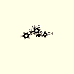 COc1ccc(S(=O)(=O)N[C@H]2C[C@@H](O)C2)cc1C(=O)Nc1ccc(F)cc1